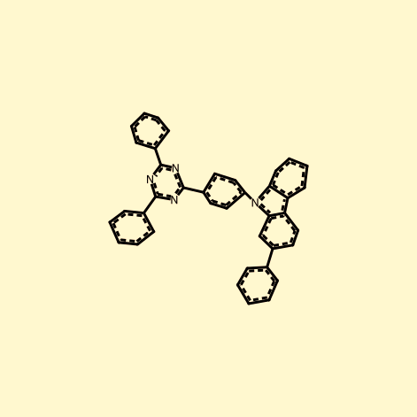 c1ccc(-c2ccc3c4ccccc4n(-c4ccc(-c5nc(-c6ccccc6)nc(-c6ccccc6)n5)cc4)c3c2)cc1